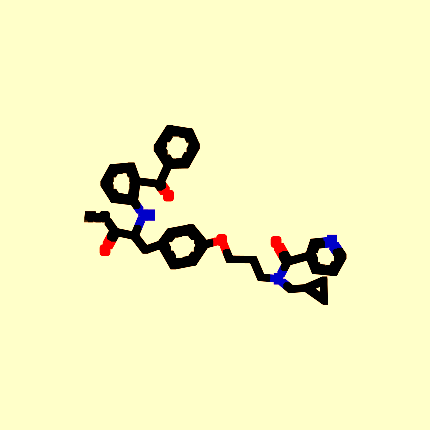 COC(=O)C(Cc1ccc(OCCCN(CC2CC2)C(=O)c2cccnc2)cc1)Nc1ccccc1C(=O)c1ccccc1